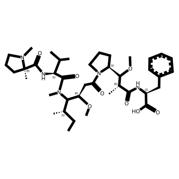 CC[C@H](C)C([C@@H](CC(=O)N1CCC[C@H]1C(OC)[C@@H](C)C(=O)N[C@@H](Cc1ccccc1)C(=O)O)OC)N(C)C(=O)[C@@H](NC(=O)[C@@]1(C)CCCN1C)C(C)C